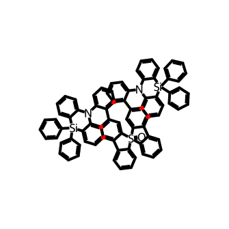 O=S12(c3ccccc3-c3ccc(-c4ccccc4N4c5ccccc5[Si](c5ccccc5)(c5ccccc5)c5ccccc54)cc31)c1ccccc1-c1ccc(-c3ccccc3N3c4ccccc4[Si](c4ccccc4)(c4ccccc4)c4ccccc43)cc12